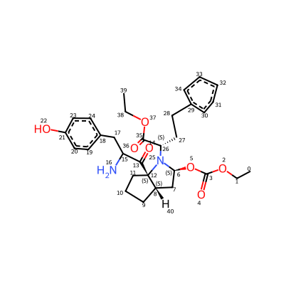 CCOC(=O)O[C@H]1C[C@@H]2CCC[C@]2(C(=O)C(N)Cc2ccc(O)cc2)N1[C@@H](CCc1ccccc1)C(=O)OCC